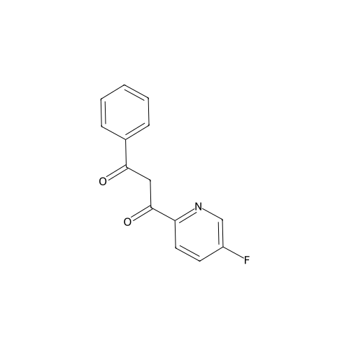 O=C(CC(=O)c1ccc(F)cn1)c1ccccc1